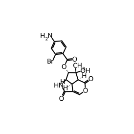 C[C@]1(O)[C@@H](OC(=O)c2ccc(N)cc2Br)[C@H]2NC(=O)C3=COC(=O)[C@H]1[C@@H]32